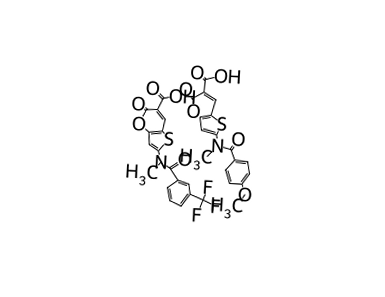 CN(C(=O)c1cccc(C(F)(F)F)c1)c1cc2oc(=O)c(C(=O)O)cc2s1.COc1ccc(C(=O)N(C)c2cc3oc(=O)c(C(=O)O)cc3s2)cc1